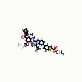 COC(=O)c1cc2cc(-c3ccc4cc(-c5nc6cc(C(=O)N7CC8CCC7[C@@H]8C)cc(OC)c6n5C)n(CC5CC5)c4n3)ccc2s1